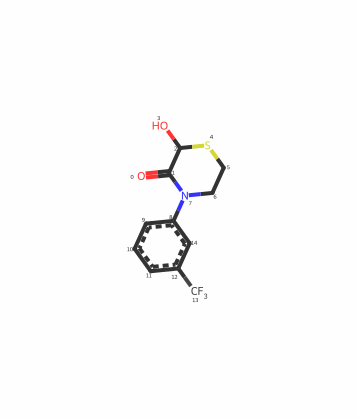 O=C1C(O)SCCN1c1cccc(C(F)(F)F)c1